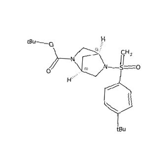 C=S(=O)(c1ccc(C(C)(C)C)cc1)N1C[C@@H]2C[C@H]1CN2C(=O)OC(C)(C)C